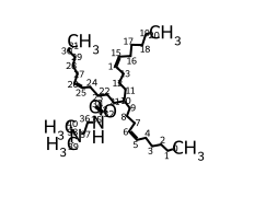 CCCCC/C=C\CCCC(CCC/C=C\CCCCC)C(CCC/C=C\CCCCC)OC(=O)NCCN(C)C